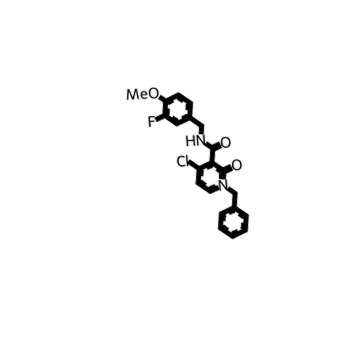 COc1ccc(CNC(=O)c2c(Cl)ccn(Cc3ccccc3)c2=O)cc1F